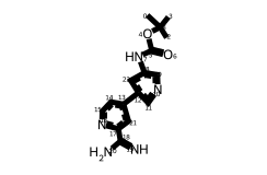 CC(C)(C)OC(=O)Nc1cncc(-c2ccnc(C(=N)N)c2)c1